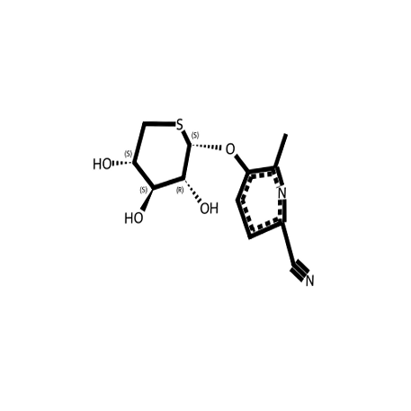 Cc1nc(C#N)ccc1O[C@H]1SC[C@@H](O)[C@H](O)[C@H]1O